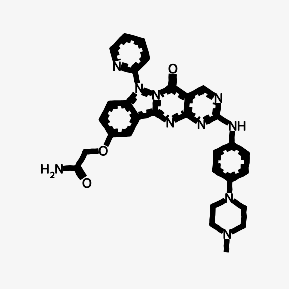 CN1CCN(c2ccc(Nc3ncc4c(=O)n5c(nc4n3)c3cc(OCC(N)=O)ccc3n5-c3ccccn3)cc2)CC1